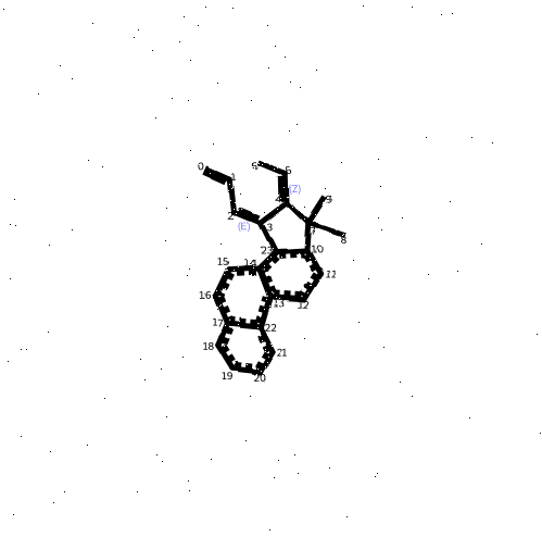 C=C/C=C1\C(=C/C)C(C)(C)c2ccc3c(ccc4ccccc43)c21